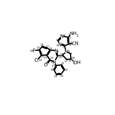 N#Cc1c(N)ncnc1N1C[C@@H](O)C[C@H]1c1nc2ccc(F)c(Cl)c2c(=O)n1-c1ccccc1